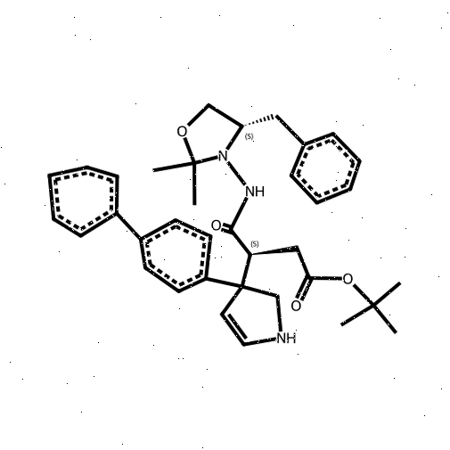 CC(C)(C)OC(=O)C[C@H](C(=O)NN1[C@@H](Cc2ccccc2)COC1(C)C)C1(c2ccc(-c3ccccc3)cc2)C=CNC1